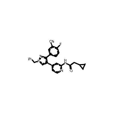 CC(C)Cn1cc(-c2ccnc(NC(=O)CC3CC3)c2)c(-c2ccc(F)c(C#N)c2)n1